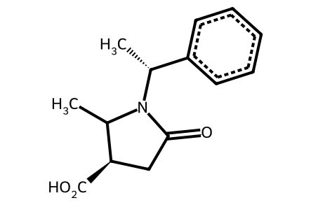 CC1[C@H](C(=O)O)CC(=O)N1[C@H](C)c1ccccc1